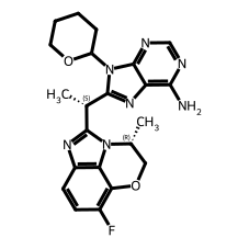 C[C@H](c1nc2c(N)ncnc2n1C1CCCCO1)c1nc2ccc(F)c3c2n1[C@H](C)CO3